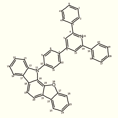 c1ccc(-c2cc(-c3ccc(-n4c5ccccc5c5ccc6c7ccccc7oc6c54)cc3)cc(-c3ccccc3)n2)cc1